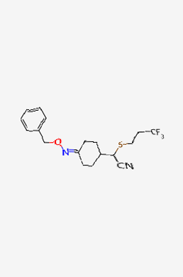 N#CC(SCCC(F)(F)F)C1CCC(=NOCc2ccccc2)CC1